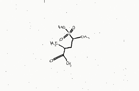 CC(=O)C(C)CC(C)S(=O)(=O)O